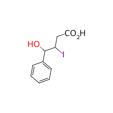 O=C(O)CC(I)C(O)c1ccccc1